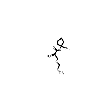 C=C(COCOC)C(=O)OC1(C)CCCC1